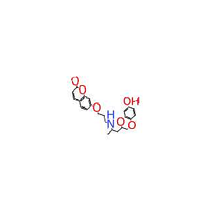 CC(CC1COc2ccc(O)cc2O1)NCCCOc1ccc2ccc(=O)oc2c1